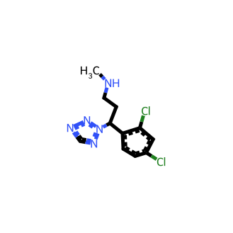 CNCCC(c1ccc(Cl)cc1Cl)n1ncnn1